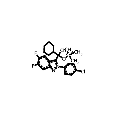 C[Si](C)(C)OC(C#N)(c1c2cc(F)c(F)cc2nn1-c1ccc(Cl)cc1)C1CCCCC1